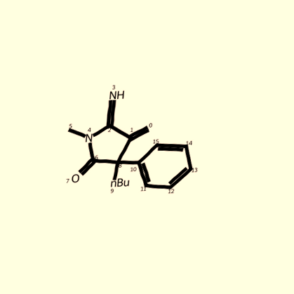 C=C1C(=N)N(C)C(=O)C1(CCCC)c1ccccc1